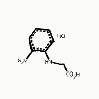 Cl.Nc1ccccc1NCC(=O)O